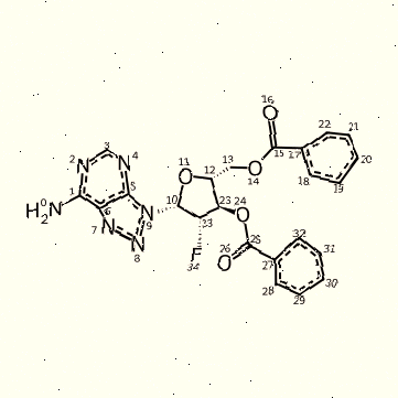 Nc1ncnc2c1nnn2[C@@H]1O[C@H](COC(=O)c2ccccc2)[C@@H](OC(=O)c2ccccc2)[C@@H]1F